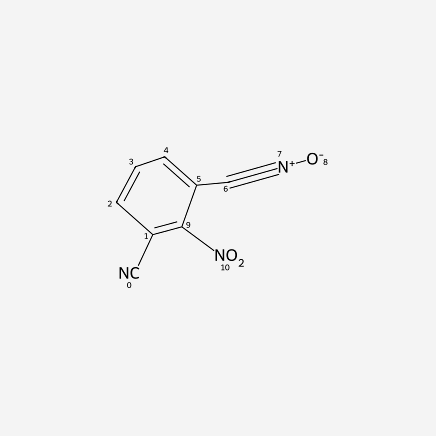 N#Cc1cccc(C#[N+][O-])c1[N+](=O)[O-]